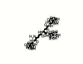 N[C@@H](CCC(=O)N[C@@H](CCC(=O)NCCC(O)(P(=O)(O)O)P(=O)(O)O)C(=O)NCCC(O)(P(=O)(O)O)P(=O)(O)O)C(=O)NCCC(O)(P(=O)(O)O)P(=O)(O)O